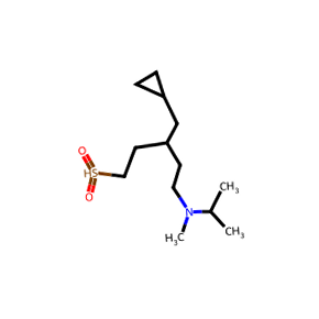 CC(C)N(C)CCC(CC[SH](=O)=O)CC1CC1